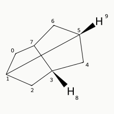 C1C2C[C@H]3C[C@H]2CC13